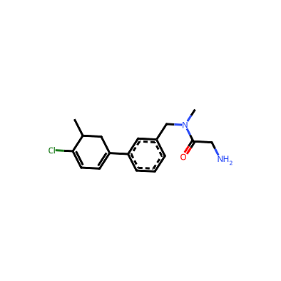 CC1CC(c2cccc(CN(C)C(=O)CN)c2)=CC=C1Cl